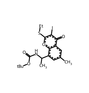 CCSc1oc2c(C(C)NC(=O)OC(C)(C)C)cc(C)cc2c(=O)c1I